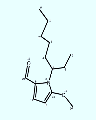 CCCCCC(CC)n1c(C=O)ccc1OC